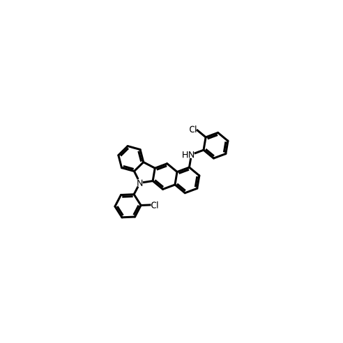 Clc1ccccc1Nc1cccc2cc3c(cc12)c1ccccc1n3-c1ccccc1Cl